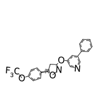 FC(F)(F)Oc1ccc([C@H]2CC(Oc3cncc(-c4ccccc4)c3)=NO2)cc1